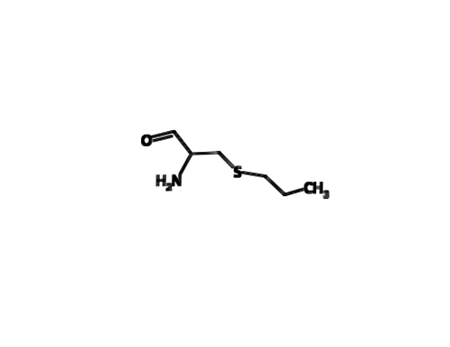 CCCSCC(N)C=O